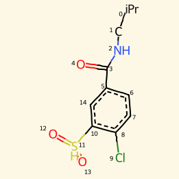 CC(C)CNC(=O)c1ccc(Cl)c([SH](=O)=O)c1